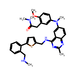 CNCc1ccccc1-c1ccc(CNc2nc(C)nc3ccc(N(C)c4ccc(OC)c(CC(=O)N(C)C)c4)cc23)s1